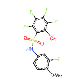 COc1ccc(NS(=O)(=O)c2c(O)c(F)c(F)c(F)c2F)cc1F